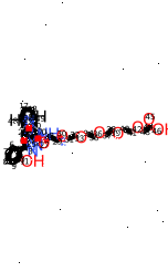 Nc1nnc(-c2ccccc2O)cc1N1C[C@H]2CC[C@@H](C1)N2c1ccnc(OCCOCCOCCOCCOCCOCC(=O)O)c1